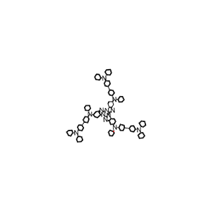 C1=CC(N(c2ccccc2)c2ccc(-c3ccc(N(c4ccccc4)c4ccccc4)cc3)cc2)Cc2nc3n(c21)c1nc2cc(N(c4ccccc4)c4ccc(-c5ccc(N(c6ccccc6)c6ccccc6)cc5)cc4)ccc2n1c1nc2cc(N(c4ccccc4)c4ccc(-c5ccc(N(c6ccccc6)c6ccccc6)cc5)cc4)ccc2n31